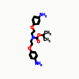 CC(C)OC(=O)N(CCOc1ccc(N)cc1)CCOc1ccc(N)cc1